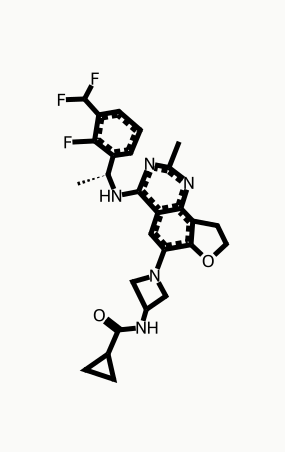 Cc1nc(N[C@H](C)c2cccc(C(F)F)c2F)c2cc(N3CC(NC(=O)C4CC4)C3)c3c(c2n1)CCO3